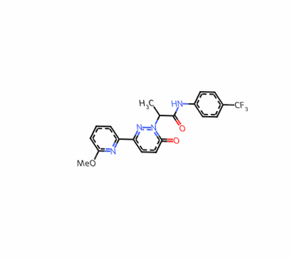 COc1cccc(-c2ccc(=O)n(C(C)C(=O)Nc3ccc(C(F)(F)F)cc3)n2)n1